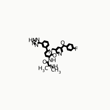 CN[C@@H](C)C(=O)Nc1ccc(-c2cccc(-c3nn[nH]n3)c2)n(Cc2cncc(C(=O)c3ccc(F)cc3)c2)c1=O